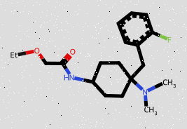 CCOCC(=O)NC1CCC(Cc2ccccc2F)(N(C)C)CC1